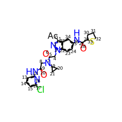 CC(=O)c1nn(CC(=O)N(CC(=O)Nc2cccc(Cl)n2)C2CC2)c2ccc(NC(=O)C3CCCS3)cc12